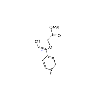 COC(=O)CO/C(=C\C#N)C1=CCNC=C1